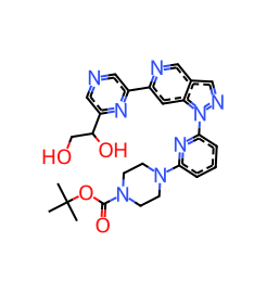 CC(C)(C)OC(=O)N1CCN(c2cccc(-n3ncc4cnc(-c5cncc(C(O)CO)n5)cc43)n2)CC1